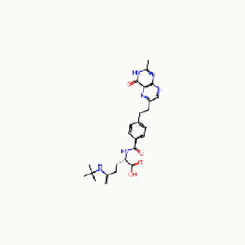 C=C(CC[C@H](NC(=O)c1ccc(CCc2cnc3nc(C)[nH]c(=O)c3n2)cc1)C(=O)O)NC(C)(C)C